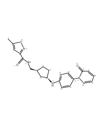 Cc1cc(C(=O)NC[C@H]2CC[C@@H](Nc3ccc(-n4ncccc4=O)cn3)C2)no1